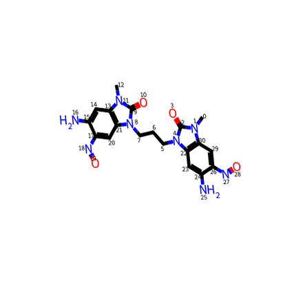 Cn1c(=O)n(CCCn2c(=O)n(C)c3cc(N)c(N=O)cc32)c2cc(N)c(N=O)cc21